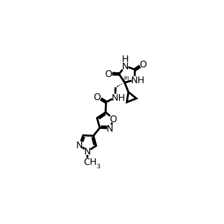 Cn1cc(-c2cc(C(=O)NC[C@@]3(C4CC4)NC(=O)NC3=O)on2)cn1